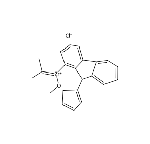 C[O][Zr+](=[C](C)C)[c]1cccc2c1C(C1=CC=CC1)c1ccccc1-2.[Cl-]